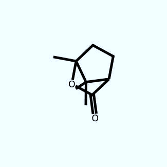 CC12CCC(C(=O)O1)C2(C)C